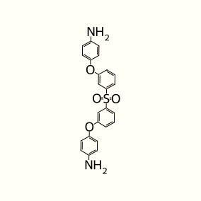 Nc1ccc(Oc2cccc(S(=O)(=O)c3cccc(Oc4ccc(N)cc4)c3)c2)cc1